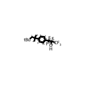 CC(C)(C)CC(C)(C)c1ccc(C(F)(F)C(O)(F)C(F)(F)F)cc1